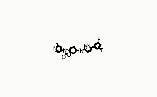 Cc1cc(N2C[C@]3(CC[C@@H](CNc4ccc(-c5cc(F)cc(F)c5)nn4)CC3)OC2=O)ccn1